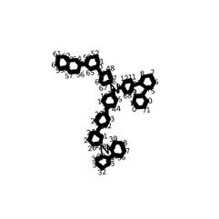 c1ccc(-c2ccccc2-c2ccc(N(c3ccc(-c4ccc(-c5cccc(-n6c7ccccc7c7ccccc76)c5)cc4)cc3)c3ccc(-c4cccc(-c5ccc6ccccc6c5)c4)cc3)cc2)cc1